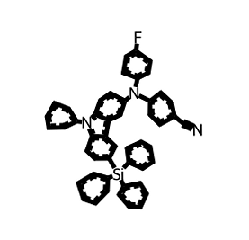 N#Cc1ccc(N(c2ccc(F)cc2)c2ccc3c(c2)c2cc([Si](c4ccccc4)(c4ccccc4)c4ccccc4)ccc2n3-c2ccccc2)cc1